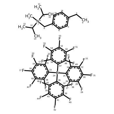 CCc1ccc(C[N+](C)(C(C)C)C(C)C)cc1.Fc1c(F)c(F)c([B-](c2c(F)c(F)c(F)c(F)c2F)(c2c(F)c(F)c(F)c(F)c2F)c2c(F)c(F)c(F)c(F)c2F)c(F)c1F